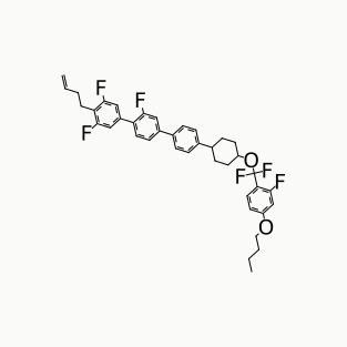 C=CCCc1c(F)cc(-c2ccc(-c3ccc(C4CCC(OC(F)(F)c5ccc(OCCCC)cc5F)CC4)cc3)cc2F)cc1F